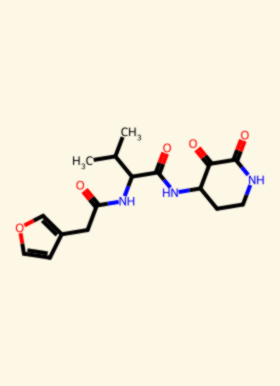 CC(C)C(NC(=O)Cc1ccoc1)C(=O)NC1CCNC(=O)C1=O